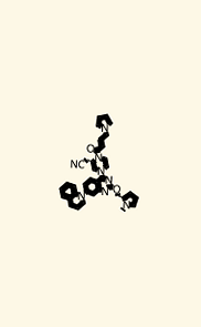 CN1CCC[C@H]1COc1nc2c(c(N3CCN(C(=O)/C=C/CN4CCCC4)[C@@H](CC#N)C3)n1)CCC(N1CCCc3ccccc31)C2